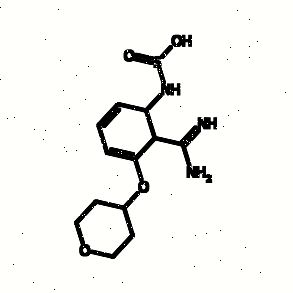 N=C(N)C1C(OC2CCOCC2)=CC=CC1NS(=O)O